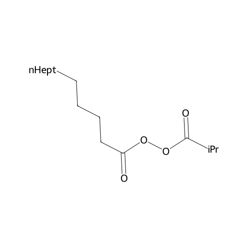 CCCCCCCCCCCC(=O)OOC(=O)C(C)C